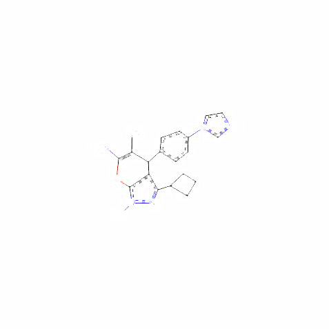 CC(C)n1nc(C2CCC2)c2c1OC(N)=C(C#N)C2c1ccc(-n2ccnc2)cc1